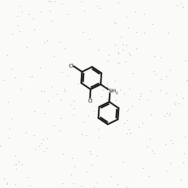 Clc1ccc([SiH2]c2ccccc2)c(Cl)c1